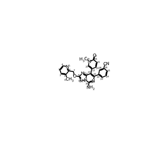 Cc1cccnc1COc1nc2c(-c3ccc(=O)n(C)c3)c(-c3cccc(C#N)c3)nc(N)n2n1